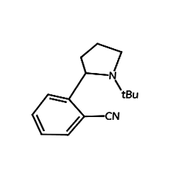 CC(C)(C)N1CCCC1c1ccccc1C#N